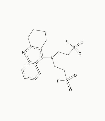 O=S(=O)(F)CCN(CCS(=O)(=O)F)c1c2c(nc3ccccc13)CCCC2